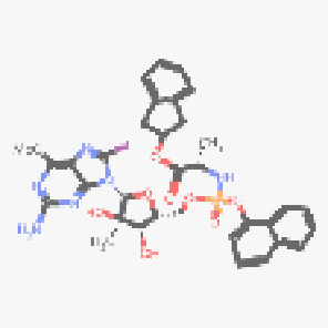 COc1nc(N)nc2c1nc(I)n2[C@@H]1O[C@H](COP(=O)(N[C@@H](C)C(=O)OC2Cc3ccccc3C2)Oc2cccc3ccccc23)[C@@H](O)[C@@]1(C)O